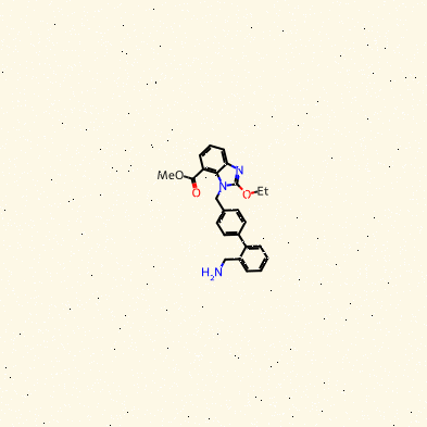 CCOc1nc2cccc(C(=O)OC)c2n1Cc1ccc(-c2ccccc2CN)cc1